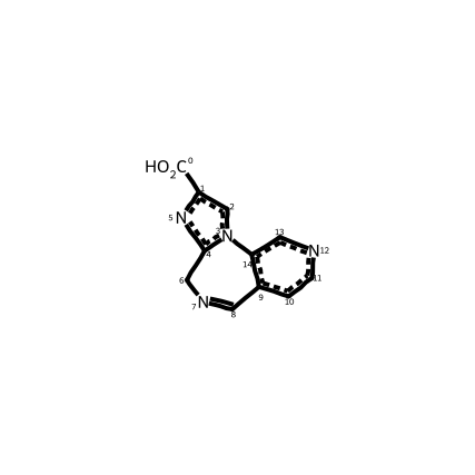 O=C(O)c1cn2c(n1)CN=Cc1ccncc1-2